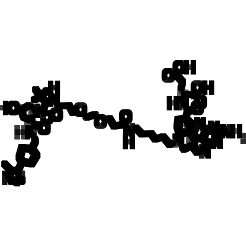 Cc1ncsc1-c1ccc(CNC(=O)[C@@H]2C[C@@H](O)CN2C(=O)C(NC(=O)CCOCCOCCC(=O)NCCCCCCN(Cc2cnc3nc(N)nc(N)c3n2)c2ccc(C(=O)N[C@H](CCC(=O)O)C(=O)O)cc2)C(C)(C)C)cc1